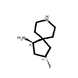 N[C@@H]1C[C@@H](F)CC12CCNCC2